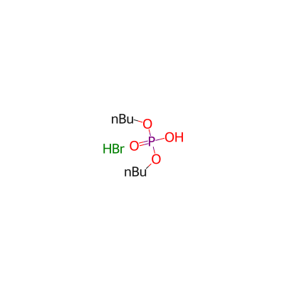 Br.CCCCOP(=O)(O)OCCCC